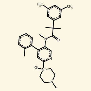 Cc1ccccc1-c1cc([N+]2([O-])CCN(C)CC2)ncc1N(C)C(=O)C(C)(C)c1cc(C(F)(F)F)cc(C(F)(F)F)c1